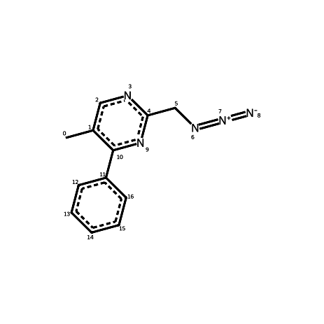 Cc1cnc(CN=[N+]=[N-])nc1-c1ccccc1